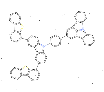 c1ccc2c(c1)sc1c(-c3ccc4c(c3)c3cc(-c5cccc6c5sc5ccccc56)ccc3n4-c3ccc(-c4cc5c6ccccc6n6c7ccccc7c(c4)c56)cc3)cccc12